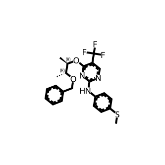 CSc1ccc(Nc2ncc(C(F)(F)F)c(O[C@H](C)[C@@H](C)OCc3ccccc3)n2)cc1